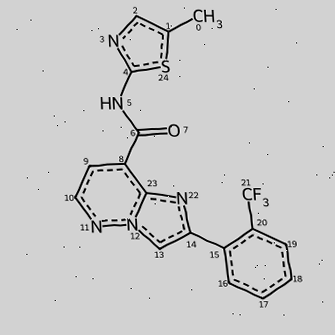 Cc1cnc(NC(=O)c2ccnn3cc(-c4ccccc4C(F)(F)F)nc23)s1